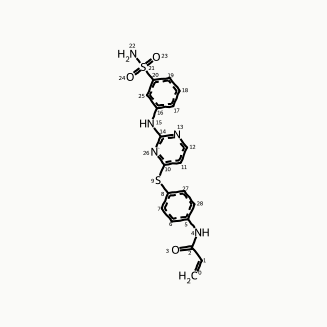 C=CC(=O)Nc1ccc(Sc2ccnc(Nc3cccc(S(N)(=O)=O)c3)n2)cc1